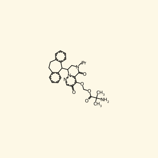 CC(C)N1CC(C2c3ccccc3CCc3ccccc32)n2ncc(=O)c(OCOC(=O)C(C)(C)N)c2C1=O